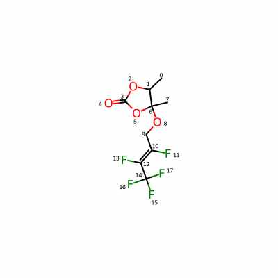 CC1OC(=O)OC1(C)OCC(F)=C(F)C(F)(F)F